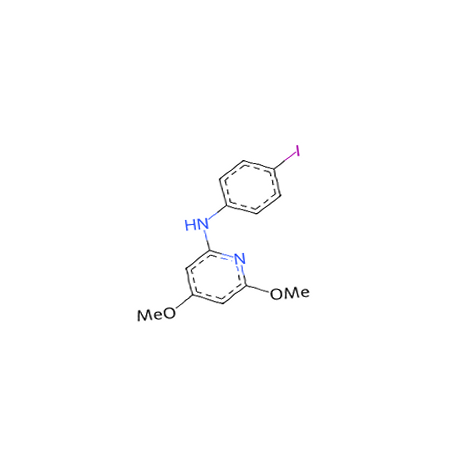 COc1cc(Nc2ccc(I)cc2)nc(OC)c1